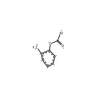 CC(=O)C(=O)Oc1ccccc1C(F)(F)F